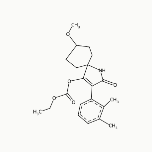 CCOC(=O)OC1=C(c2cccc(C)c2C)C(=O)NC12CCC(OC)CC2